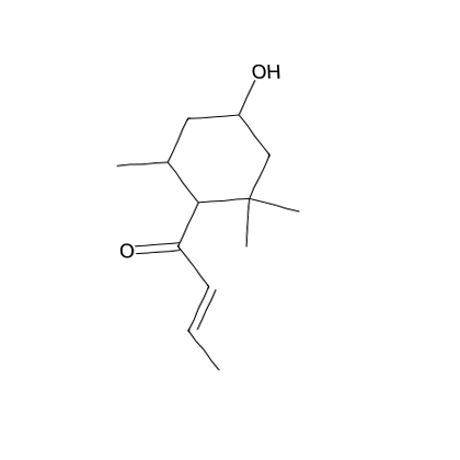 C/C=C/C(=O)C1C(C)CC(O)CC1(C)C